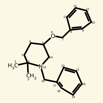 CC1(C)CCC(OCc2ccccc2)CN1Cc1ccccc1